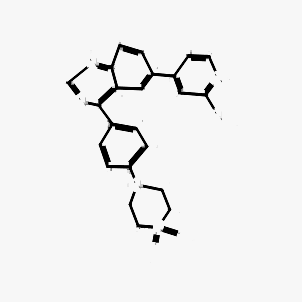 Nc1cc(-c2ccc3ncnc(-c4ccc(N5CCS(=O)(=O)CC5)cc4)c3c2)ccn1